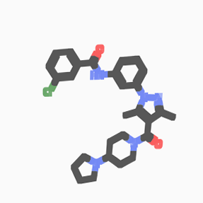 Cc1nn(-c2cccc(NC(=O)c3cccc(Cl)c3)c2)c(C)c1C(=O)N1CCC(N2CCCC2)CC1